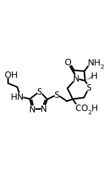 NC1C(=O)N2CC(CSc3nnc(NCCO)s3)(C(=O)O)CS[C@H]12